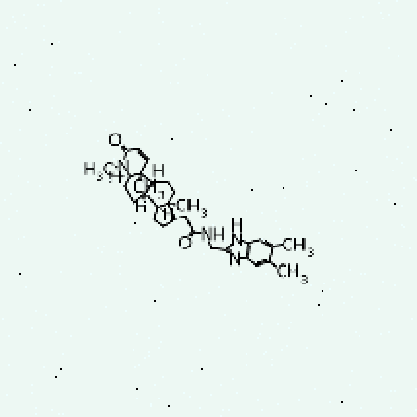 Cc1cc2nc(CNC(=O)C[C@H]3CC[C@H]4[C@@H]5CC[C@H]6N(C)C(=O)C=C[C@]6(C)[C@H]5CC[C@]34C)[nH]c2cc1C